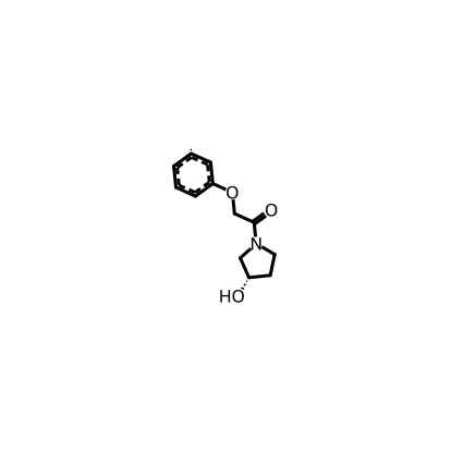 O=C(COc1c[c]ccc1)N1CC[C@H](O)C1